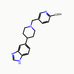 COc1ccc(CN2CCC(c3ccc4[nH][c]nc4c3)CC2)cn1